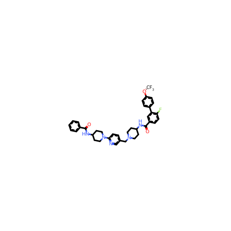 O=C(NC1CCN(Cc2ccc(N3CCC(NC(=O)c4ccccc4)CC3)nc2)CC1)c1ccc(F)c(-c2ccc(OC(F)(F)F)cc2)c1